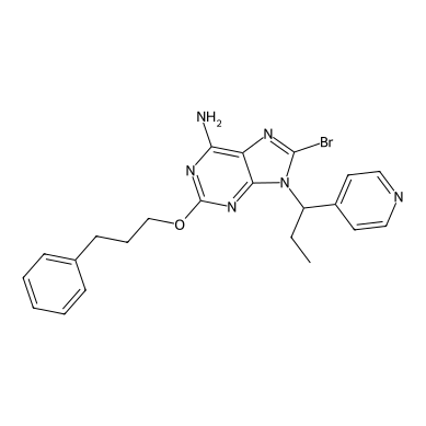 CCC(c1ccncc1)n1c(Br)nc2c(N)nc(OCCCc3ccccc3)nc21